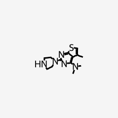 Cc1csc2nc(N3CCNCC3)nc(N(C)C)c12